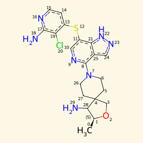 C[C@@H]1OCC2(CCN(c3ncc(Sc4ccnc(N)c4Cl)c4[nH]ncc34)CC2)C1N